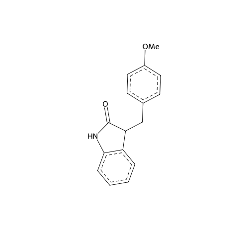 COc1ccc(CC2C(=O)Nc3ccccc32)cc1